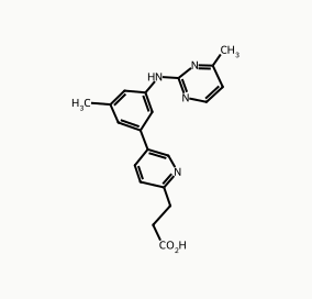 Cc1cc(Nc2nccc(C)n2)cc(-c2ccc(CCC(=O)O)nc2)c1